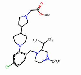 CC(C)(C)OC(=O)CN1CCC(C2CCN(c3cc(Cl)ccc3CN3CCN(C(=O)O)CC3C(C(F)(F)F)C(F)(F)F)CC2)C1